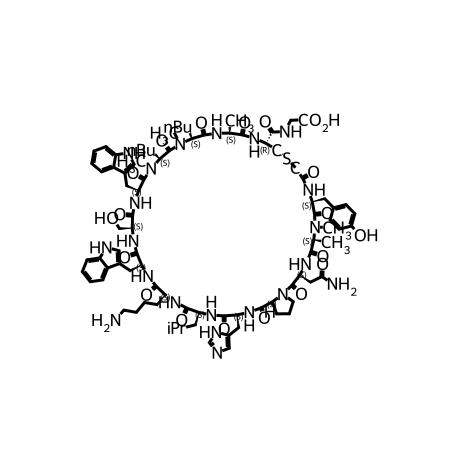 CCCC[C@H]1C(=O)N(C)[C@@H](CCCC)C(=O)N[C@@H](C)C(=O)N[C@H](C(=O)NCC(=O)O)CSCC(=O)N[C@@H](Cc2ccc(O)cc2)C(=O)N(C)[C@@H](C)C(=O)N[C@@H](CC(N)=O)C(=O)N2CCC[C@H]2C(=O)N[C@@H](Cc2cnc[nH]2)C(=O)N[C@@H](CC(C)C)C(=O)N[C@@H](CCCCN)C(=O)N[C@@H](Cc2c[nH]c3ccccc23)C(=O)N[C@@H](CO)C(=O)N[C@@H](Cc2c[nH]c3ccccc23)C(=O)N1C